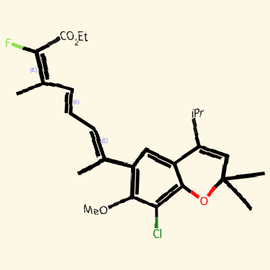 CCOC(=O)\C(F)=C(C)/C=C/C=C(\C)c1cc2c(c(Cl)c1OC)OC(C)(C)C=C2C(C)C